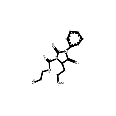 CSCCC1C(=O)N(c2ccccc2)C(=O)N1C(=O)OCCCl